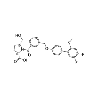 CSc1cc(F)c(F)cc1-c1ccc(OCc2cccc(C(=O)N3[C@@H](CO)CC[C@H]3C(=O)O)c2)cc1